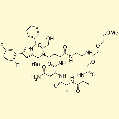 COCCOCCOCC(=O)N[C@@H](C)C(=O)N[C@H](C)C(=O)N[C@@H](CC(N)=O)C(=O)N[C@@H](CCN(C(=O)CO)[C@@H](c1cc(-c2cc(F)ccc2F)cn1Cc1ccccc1)C(C)(C)C)C(=O)NCCN